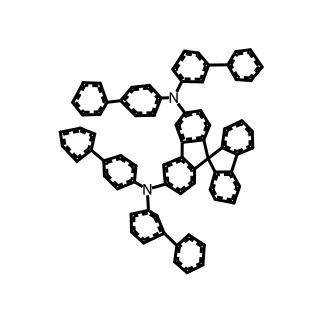 c1ccc(-c2ccc(N(c3cccc(-c4ccccc4)c3)c3ccc4c(c3)-c3cc(N(c5ccc(-c6ccccc6)cc5)c5cccc(-c6ccccc6)c5)ccc3C43c4ccccc4-c4ccccc43)cc2)cc1